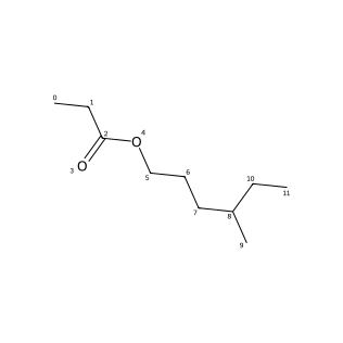 CCC(=O)OCCCC(C)CC